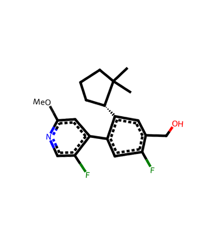 COc1cc(-c2cc(F)c(CO)cc2[C@@H]2CCCC2(C)C)c(F)cn1